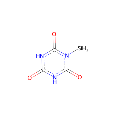 O=c1[nH]c(=O)n([SiH3])c(=O)[nH]1